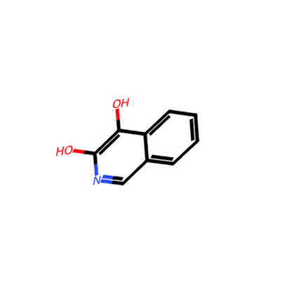 Oc1ncc2ccccc2c1O